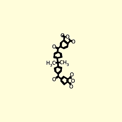 CC(C)(c1ccc(C(=O)c2ccc3c(c2)C(=O)OC3=O)cc1)c1ccc(C(=O)c2ccc3c(c2)C(=O)OC3=O)cc1